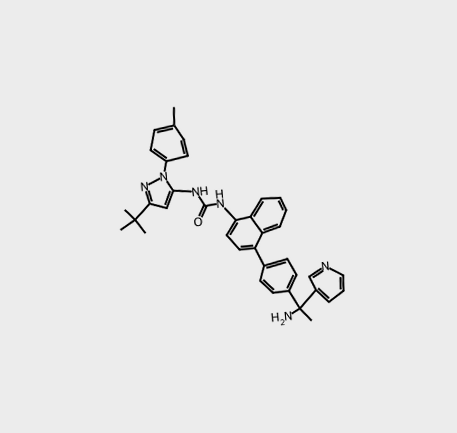 Cc1ccc(-n2nc(C(C)(C)C)cc2NC(=O)Nc2ccc(-c3ccc(C(C)(N)c4cccnc4)cc3)c3ccccc23)cc1